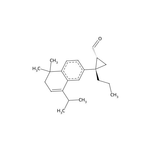 CCC[C@]1(c2ccc3c(c2)C(C(C)C)=CCC3(C)C)C[C@H]1C=O